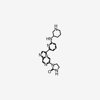 O=C1NCCN1c1cn2c(-c3cccc(NC4CCCNC4)n3)cnc2cn1